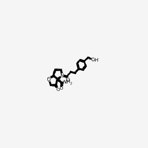 NC(=O)C12C(=O)COC1CCN2C(=O)[CH]Cc1ccc(CO)cc1